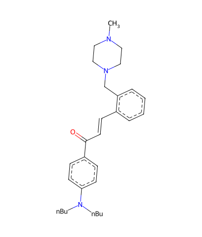 CCCCN(CCCC)c1ccc(C(=O)C=Cc2ccccc2CN2CCN(C)CC2)cc1